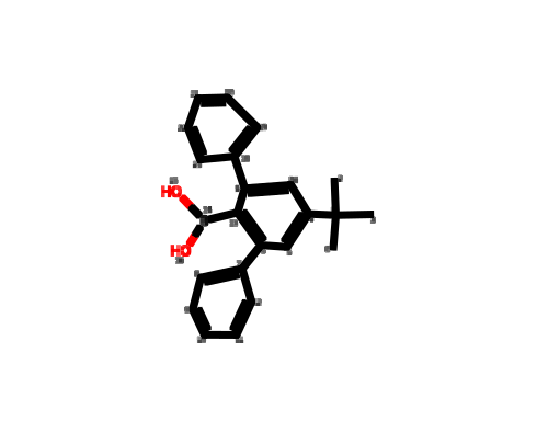 CC(C)(C)c1cc(-c2ccccc2)c(B(O)O)c(-c2ccccc2)c1